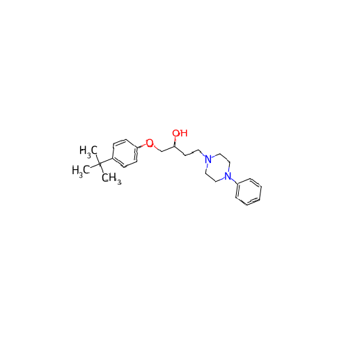 CC(C)(C)c1ccc(OCC(O)CCN2CCN(c3ccccc3)CC2)cc1